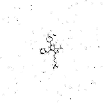 CC[C@@H]1CN(c2nc(Nc3ccccn3)c3c(n2)c(C(C)C)nn3CCOCC(F)(F)F)CCN1